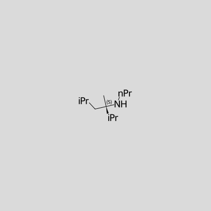 CCCN[C@@](C)(CC(C)C)C(C)C